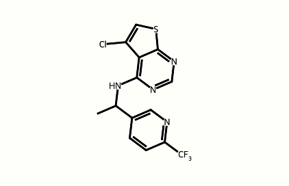 CC(Nc1ncnc2scc(Cl)c12)c1ccc(C(F)(F)F)nc1